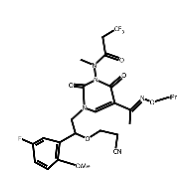 COc1ccc(F)cc1C(Cn1cc(/C(C)=N/OC(C)C)c(=O)n(N(C)C(=O)CC(F)(F)F)c1=O)OCCC#N